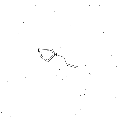 C=CCn1cbcc1